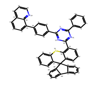 c1ccc(-c2nc(-c3ccc(-c4cccc5cccnc45)cc3)nc(-c3cccc4c3Sc3ccccc3C43c4ccccc4-c4ccccc43)n2)cc1